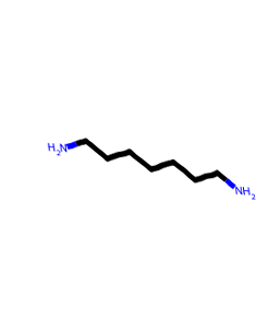 N[CH]CCCCCCN